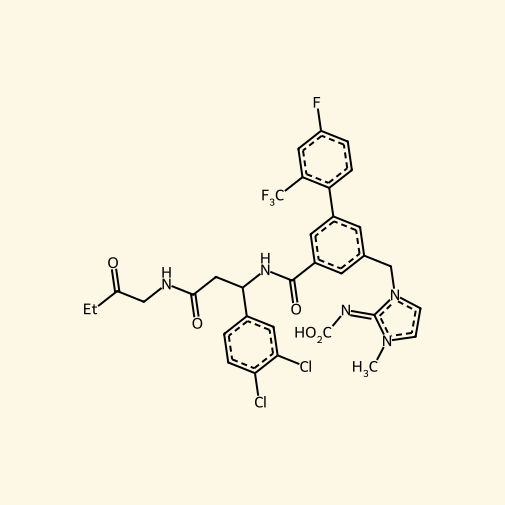 CCC(=O)CNC(=O)CC(NC(=O)c1cc(Cn2ccn(C)c2=NC(=O)O)cc(-c2ccc(F)cc2C(F)(F)F)c1)c1ccc(Cl)c(Cl)c1